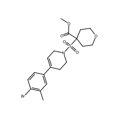 COC(=O)C1(S(=O)(=O)N2CC=C(c3ccc(Br)c(C)c3)CC2)CCOCC1